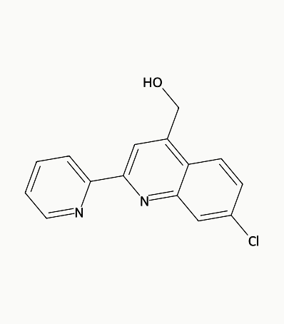 OCc1cc(-c2ccccn2)nc2cc(Cl)ccc12